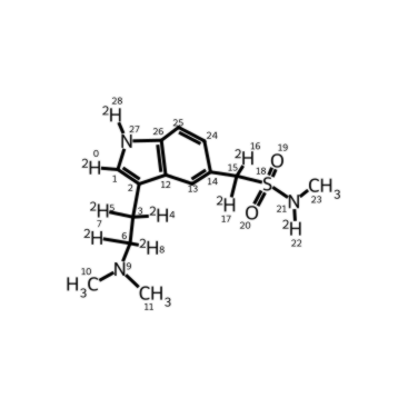 [2H]c1c(C([2H])([2H])C([2H])([2H])N(C)C)c2cc(C([2H])([2H])S(=O)(=O)N([2H])C)ccc2n1[2H]